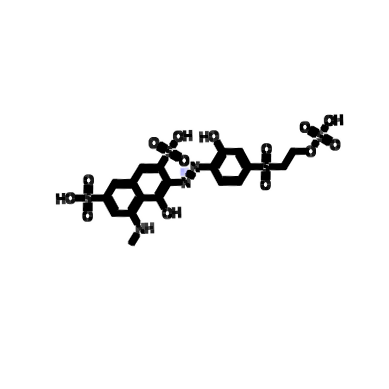 CNc1cc(S(=O)(=O)O)cc2cc(S(=O)(=O)O)c(/N=N/c3ccc(S(=O)(=O)CCOS(=O)(=O)O)cc3O)c(O)c12